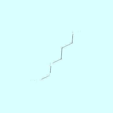 CCCCCCCCCCPPCCCCCCC